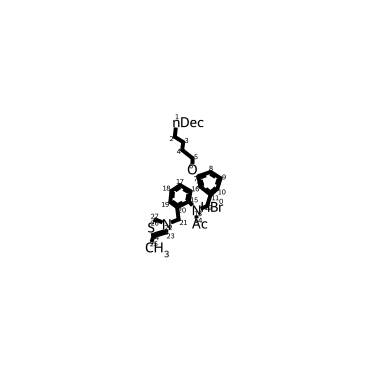 Br.CCCCCCCCCCCCCCOc1cccc(CN(C(C)=O)c2ccccc2CN2C=C(C)SC2)c1